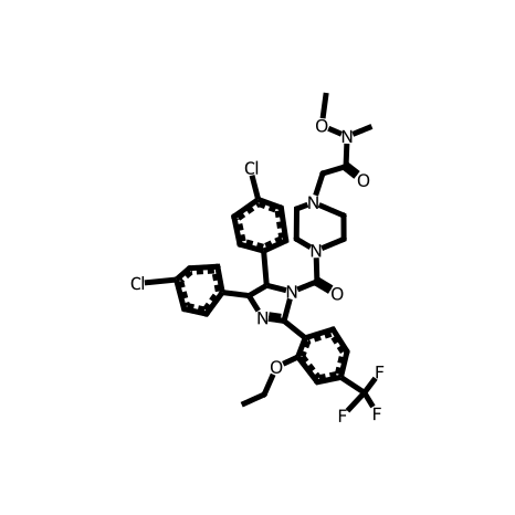 CCOc1cc(C(F)(F)F)ccc1C1=NC(c2ccc(Cl)cc2)C(c2ccc(Cl)cc2)N1C(=O)N1CCN(CC(=O)N(C)OC)CC1